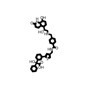 O=C(NCc1csc(-c2cccc([C@](O)(C(=O)O)c3ccccc3)c2)c1)c1ccc(CNC[C@H](O)c2ccc(O)c3[nH]c(=O)ccc23)cc1